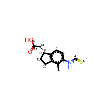 Cc1c(NC=S)ccc2c1CC[C@@H]2CC(=O)O